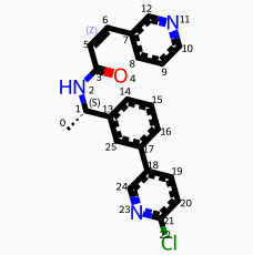 C[C@H](NC(=O)/C=C\c1cccnc1)c1cccc(-c2ccc(Cl)nc2)c1